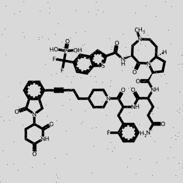 CN1CC[C@H]2CC[C@@H](C(=O)NC(CCC(N)=O)C(=O)NC(Cc3ccccc3F)C(=O)N3CCC(CCC#Cc4cccc5c4CN(C4CCC(=O)NC4=O)C5=O)CC3)N2C(=O)[C@@H](NC(=O)c2cc3cc(C(F)(F)P(=O)(O)O)ccc3s2)C1